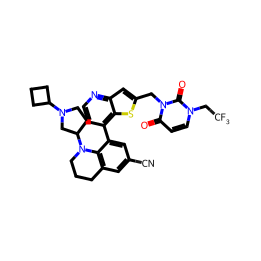 N#Cc1cc2c(c(-c3ccnc4cc(Cn5c(=O)ccn(CC(F)(F)F)c5=O)sc34)c1)N(C1CCN(C3CCC3)C1)CCC2